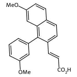 COc1cccc(-c2c(C=CC(=O)O)ccc3ccc(OC)cc23)c1